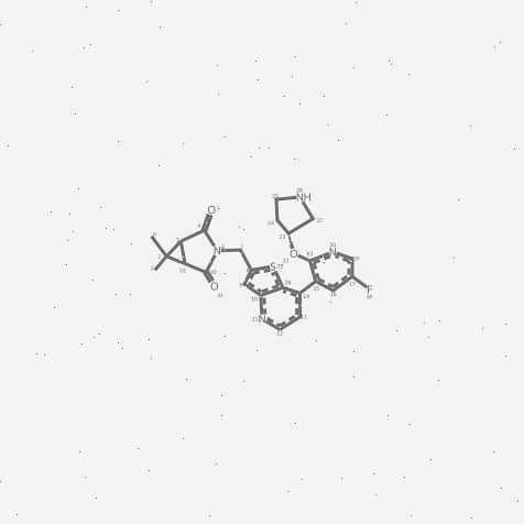 CC1(C)C2C(=O)N(Cc3cc4nccc(-c5cc(F)cnc5O[C@H]5CCNC5)c4s3)C(=O)C21